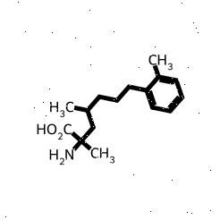 Cc1ccccc1CCCC(C)CC(C)(N)C(=O)O